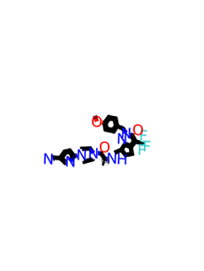 COc1ccc(Cn2nc3c(c(C(F)(F)F)c2=O)CCC3CN[C@@H](C)C(=O)N2CCN(c3ccc(C#N)cn3)CC2)cc1